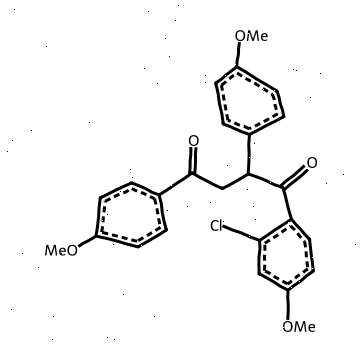 COc1ccc(C(=O)CC(C(=O)c2ccc(OC)cc2Cl)c2ccc(OC)cc2)cc1